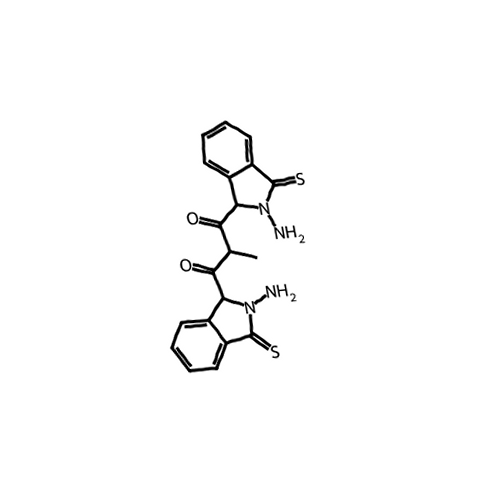 CC(C(=O)C1c2ccccc2C(=S)N1N)C(=O)C1c2ccccc2C(=S)N1N